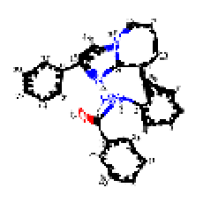 O=C(Nc1ccccc1-c1cccn2cc(-c3ccccc3)nc12)c1ccccc1